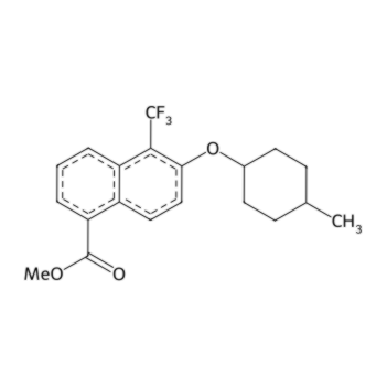 COC(=O)c1cccc2c(C(F)(F)F)c(OC3CCC(C)CC3)ccc12